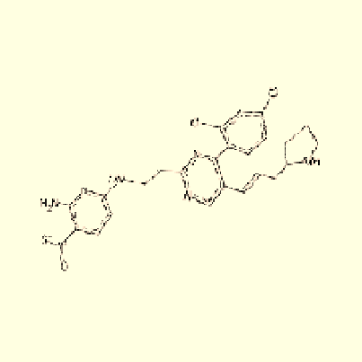 Nc1nc(NC[CH]c2ncc(/C=C/CC3CCCN3)c(-c3ccc(Cl)cc3Cl)n2)ccc1[N+](=O)[O-]